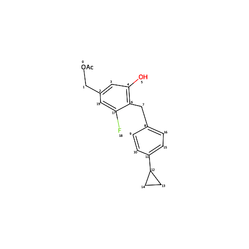 CC(=O)OCc1cc(O)c(Cc2ccc(C3CC3)cc2)c(F)c1